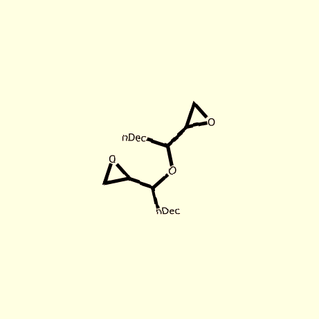 CCCCCCCCCCC(OC(CCCCCCCCCC)C1CO1)C1CO1